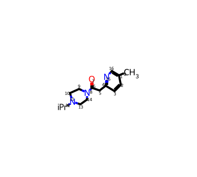 Cc1ccc(CC(=O)N2CCN(C(C)C)CC2)nc1